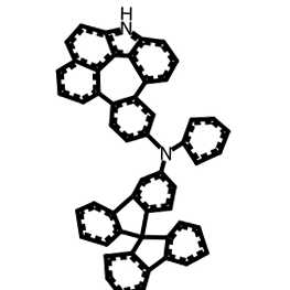 c1ccc(N(c2ccc3c(c2)-c2cccc4[nH]c5ccc6cccc-3c6c5c24)c2ccc3c(c2)-c2ccccc2C32c3ccccc3-c3ccccc32)cc1